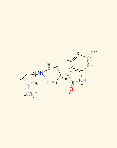 CCOC(=O)N1CCC(C)(N2CCC(n3c(=O)[nH]c4cc(F)ccc43)CC2)C1